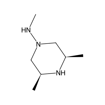 CNN1C[C@@H](C)N[C@@H](C)C1